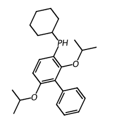 CC(C)Oc1ccc(PC2CCCCC2)c(OC(C)C)c1-c1ccccc1